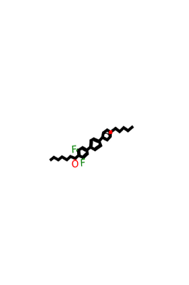 CCCCCCC(=O)c1c(F)cc(-c2ccc(C34CCC(CCCCC)(CC3)CC4)cc2)cc1F